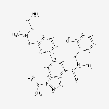 CC(C)n1ncc2c(C(=O)N(C)Cc3ccccc3Cl)cc(-c3cccc(CN(C)CCN)c3)nc21